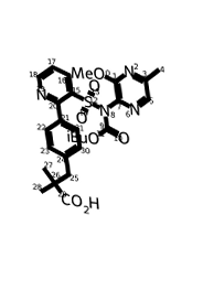 COc1nc(C)cnc1N(C(=O)OCC(C)C)S(=O)(=O)c1cccnc1-c1ccc(CC(C)(C)C(=O)O)cc1